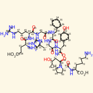 C[C@@H](O)[C@H](NC(=O)[C@H](Cc1ccc(O)cc1)NC(=O)[C@H](Cc1c[nH]cn1)NC(=O)[C@H](Cc1ccccc1)NC(=O)CNC(=O)[C@H](CCCNC(=N)N)NC(=O)[C@@H](N)CCC(=O)O)C(=O)N1CCC[C@H]1C(=O)N[C@@H](CCCCN)C(=O)O